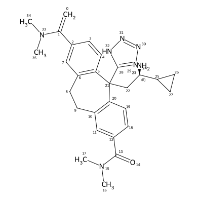 C=C(c1ccc2c(c1)CCc1cc(C(=O)N(C)C)ccc1C2(C[C@@H](N)C1CC1)c1nnn[nH]1)N(C)C